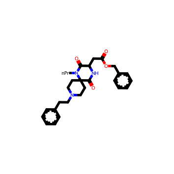 CCCN1C(=O)C(CC(=O)OCc2ccccc2)NC(=O)C12CCN(CCc1ccccc1)CC2